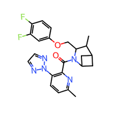 Cc1ccc(-n2nccn2)c(C(=O)N2C3CC(C3)C(C)C2COc2ccc(F)c(F)c2)n1